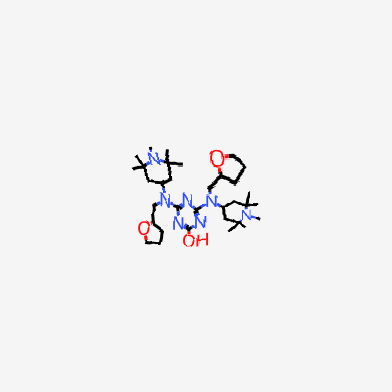 CN1C(C)(C)CC(N(CC2CCCO2)c2nc(O)nc(N(CC3CCCO3)C3CC(C)(C)N(C)C(C)(C)C3)n2)CC1(C)C